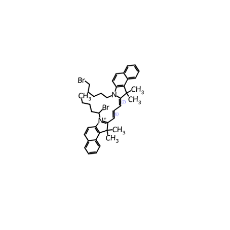 CCCCC(Br)[N+]1=C(/C=C/C=C2\N(CCCCCBr)c3ccc4ccccc4c3C2(C)C)C(C)(C)c2c1ccc1ccccc21